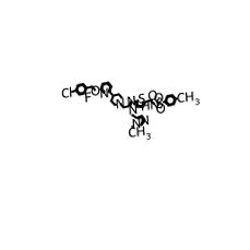 CCn1cncc1Cn1c(CN2CCC(c3cccc(OCc4ccc(Cl)cc4F)n3)CC2)nc2sc(C(=O)NS(=O)(=O)c3ccc(C)cc3)cc21